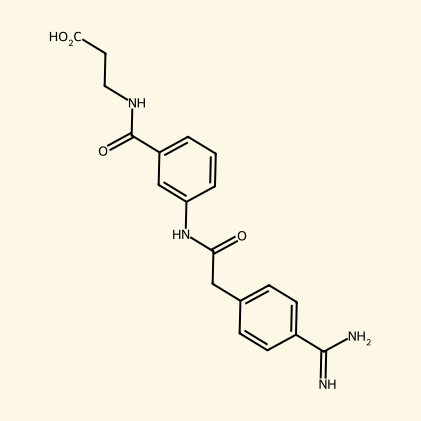 N=C(N)c1ccc(CC(=O)Nc2cccc(C(=O)NCCC(=O)O)c2)cc1